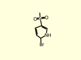 CS(=O)(=O)C1=CNC(Br)C=C1